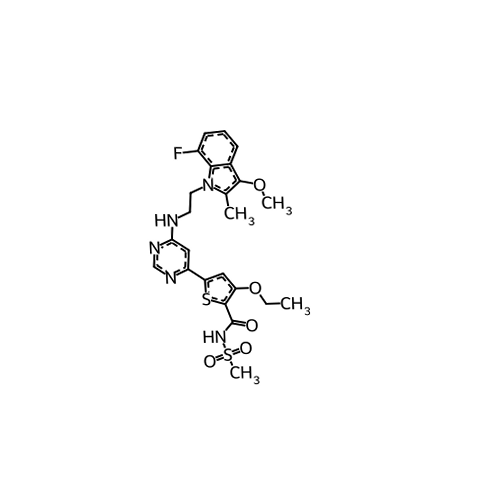 CCOc1cc(-c2cc(NCCn3c(C)c(OC)c4cccc(F)c43)ncn2)sc1C(=O)NS(C)(=O)=O